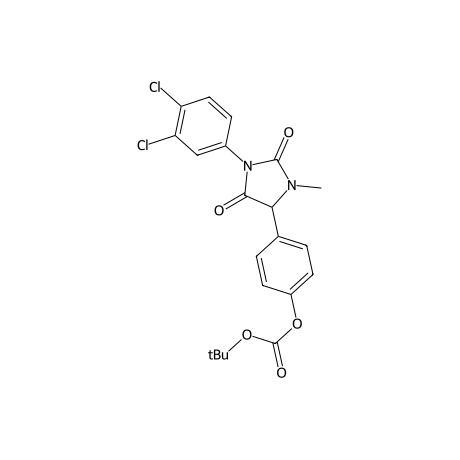 CN1C(=O)N(c2ccc(Cl)c(Cl)c2)C(=O)C1c1ccc(OC(=O)OC(C)(C)C)cc1